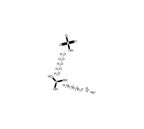 O.O.O.O.O.O.O.O.O.O.O=S(=O)([O-])O.OB(O)O.[Na+]